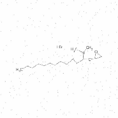 Br.CCCCCCCCCCCC(CC1CO1)N(C)C